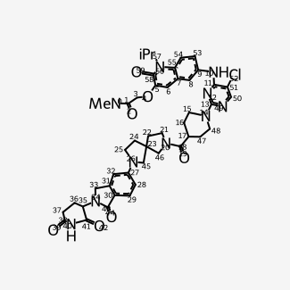 CNC(=O)COc1cc2cc(Nc3nc(N4CCC(C(=O)N5CCC6(CCN(c7ccc8c(c7)CN(C7CCC(=O)NC7=O)C8=O)C6)C5)CC4)ncc3Cl)ccc2n(C(C)C)c1=O